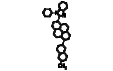 Cc1ccc2cc(-c3ccc4ccc5c(-c6nc7ccccc7n6-c6ccccc6)ccc6ccc3c4c65)ccc2c1